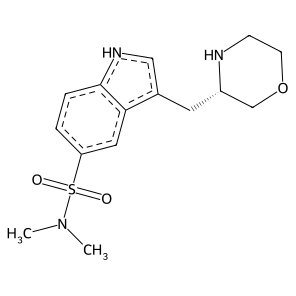 CN(C)S(=O)(=O)c1ccc2[nH]cc(C[C@H]3COCCN3)c2c1